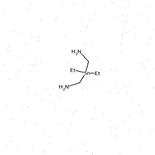 C[CH2][Sn]([CH2]C)([CH2]N)[CH2]N